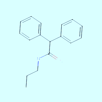 CCCNC(=O)C(c1ccccc1)c1ccccc1